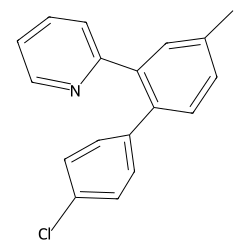 Cc1ccc(-c2ccc(Cl)cc2)c(-c2ccccn2)c1